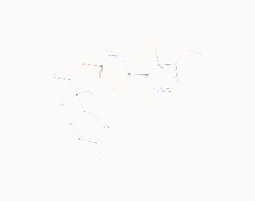 COc1ccnc(C(=O)NC(C)C(=O)OC(C)C(C)(C)c2ccc(Cl)cc2)c1O